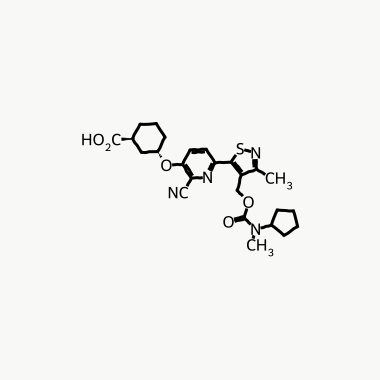 Cc1nsc(-c2ccc(O[C@H]3CCC[C@H](C(=O)O)C3)c(C#N)n2)c1COC(=O)N(C)C1CCCC1